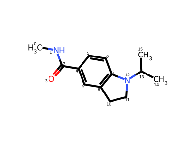 CNC(=O)c1ccc2c(c1)CCN2C(C)C